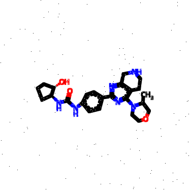 CC1COCCN1c1nc(-c2ccc(NC(=O)N[C@H]3CCC[C@@H]3O)cc2)nc2c1CCNC2